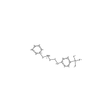 FC(F)(F)c1ccc(OCCNCc2cccnc2)cc1